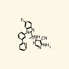 C[C@H](Nc1ncnc(N)c1C#N)c1nc2ccc(F)cc2n1-c1cccc(-c2ccccn2)c1